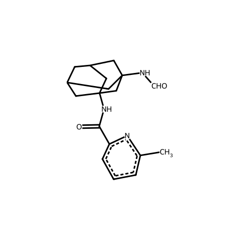 Cc1cccc(C(=O)NC23CC4CC(CC(NC=O)(C4)C2)C3)n1